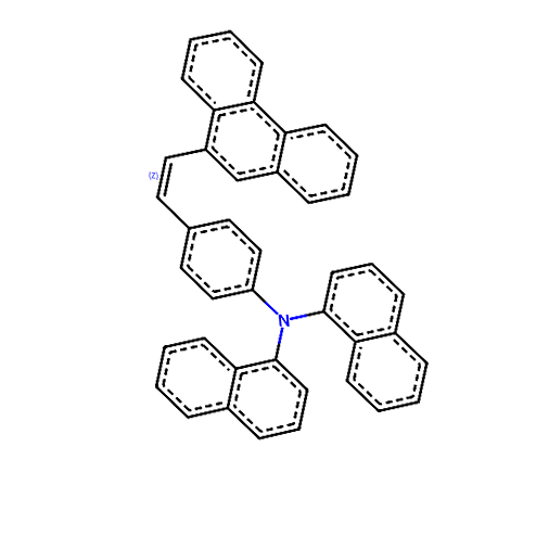 C(=C/c1cc2ccccc2c2ccccc12)/c1ccc(N(c2cccc3ccccc23)c2cccc3ccccc23)cc1